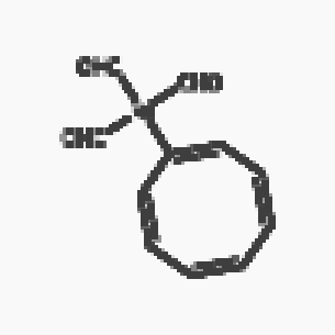 O=[CH][Ru]([CH]=O)([CH]=O)[C]1=CC=CC=CC=C1